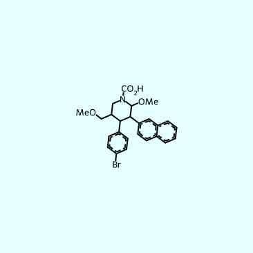 COCC1CN(C(=O)O)C(OC)C(c2ccc3ccccc3c2)C1c1ccc(Br)cc1